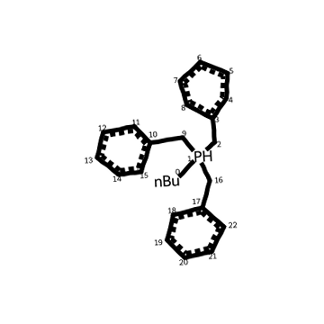 CCCC[PH](Cc1ccccc1)(Cc1ccccc1)Cc1ccccc1